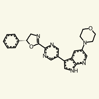 c1ccc([C@@H]2CN=C(c3ncc(-c4c[nH]c5ncc(N6CCOCC6)cc45)cn3)O2)cc1